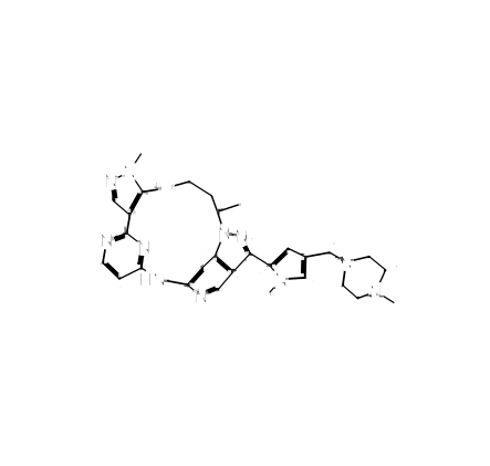 CC1CCOc2c(cnn2C)-c2nccc(n2)Nc2cc3c(cn2)c(-c2cc(CN4CCN(C)CC4)cn2C)nn31